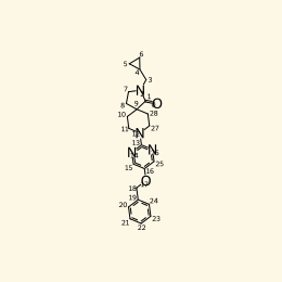 O=C1N(CC2CC2)CCC12CCN(c1ncc(OCc3ccccc3)cn1)CC2